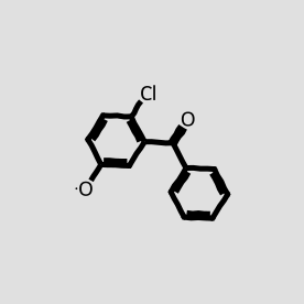 [O]c1ccc(Cl)c(C(=O)c2ccccc2)c1